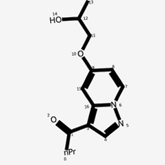 CCCC(=O)c1cnn2ccc(OCC(C)O)cc12